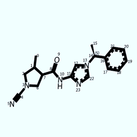 CC1CN(C#N)CC1C(=O)Nc1cn([C@@H](C)c2ccccc2)cn1